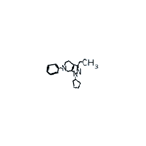 CCc1nn(C2CCCC2)c2c1CCN(c1ccccc1)C2